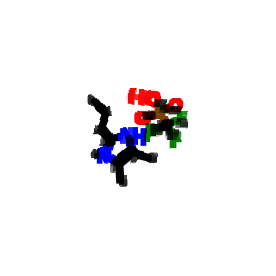 CCCc1nc(C)c(C)[nH]1.O=S(=O)(O)C(F)(F)F